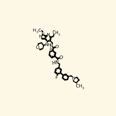 CCc1nc2c(cnn2CC)c(NC2CCOCC2)c1CNC(=O)c1cccc(C(=O)NCc2ccc(F)c(-c3cccc(CN4CC[C@H](C)C4)c3)c2)c1